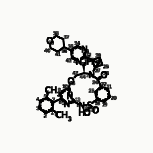 Cc1cccc(C)c1-c1cc2nc(n1)NS(=O)(=O)c1cccc(c1)C(=O)N(C13CC(C1)C3c1ncc(C3CCOCC3)cn1)[C@H](CC(C)C)CO2